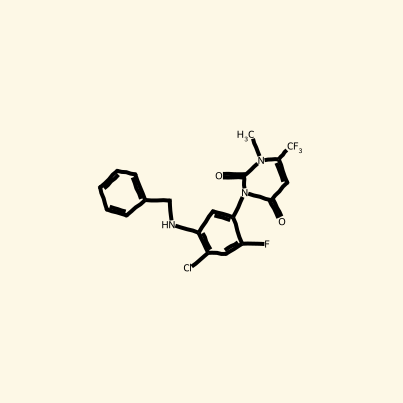 Cn1c(C(F)(F)F)cc(=O)n(-c2cc(NCc3ccccc3)c(Cl)cc2F)c1=O